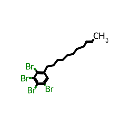 CCCCCCCCCCCc1cc(Br)c(Br)c(Br)c1Br